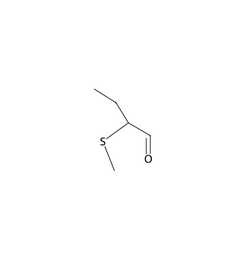 CCC(C=O)SC